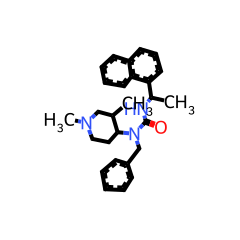 CC(NC(=O)N(Cc1ccccc1)C1CCN(C)CC1C)c1cccc2ccccc12